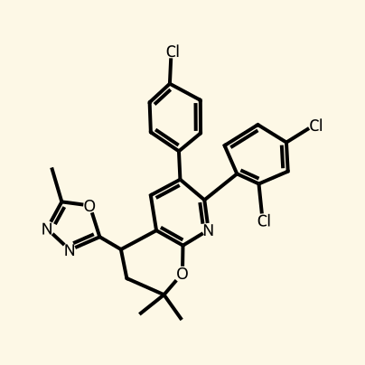 Cc1nnc(C2CC(C)(C)Oc3nc(-c4ccc(Cl)cc4Cl)c(-c4ccc(Cl)cc4)cc32)o1